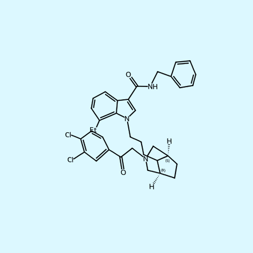 CCc1cccc2c(C(=O)NCc3ccccc3)cn(CCCC3[C@@H]4CC[C@H]3CN(CC(=O)c3ccc(Cl)c(Cl)c3)C4)c12